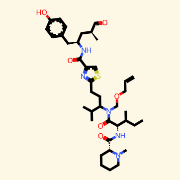 C=CCOCN(C(=O)[C@@H](NC(=O)[C@H]1CCCCN1C)C(C)CC)C(CCc1nc(C(=O)N[C@@H](Cc2ccc(O)cc2)C[C@H](C)C=O)cs1)C(C)C